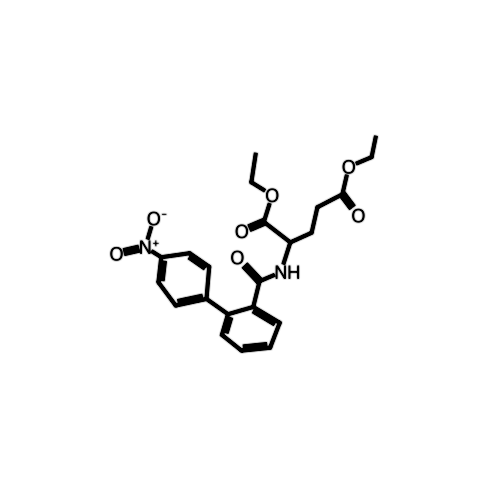 CCOC(=O)CCC(NC(=O)c1ccccc1-c1ccc([N+](=O)[O-])cc1)C(=O)OCC